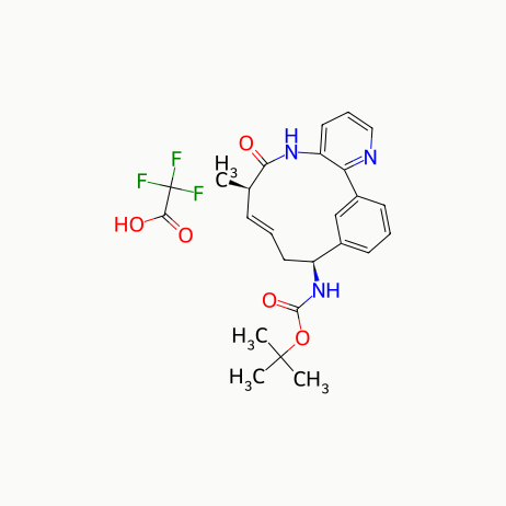 C[C@@H]1/C=C/C[C@H](NC(=O)OC(C)(C)C)c2cccc(c2)-c2ncccc2NC1=O.O=C(O)C(F)(F)F